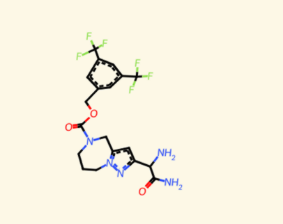 NC(=O)C(N)c1cc2n(n1)CCCN(C(=O)OCc1cc(C(F)(F)F)cc(C(F)(F)F)c1)C2